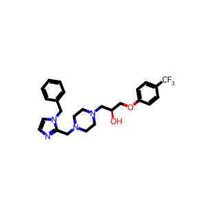 O[C@H](COc1ccc(C(F)(F)F)cc1)CN1CCN(Cc2nccn2Cc2ccccc2)CC1